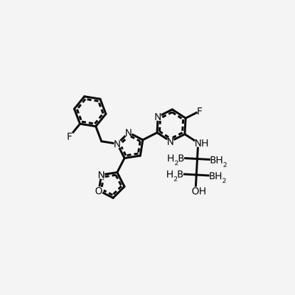 BC(B)(O)C(B)(B)Nc1nc(-c2cc(-c3ccon3)n(Cc3ccccc3F)n2)ncc1F